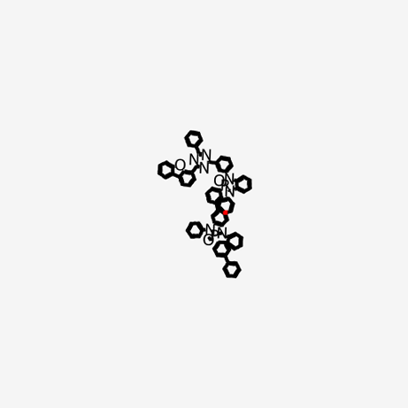 O=P1(c2cccc(-c3ccc4c(c3)N(c3ccccc3)P(=O)(c3ccc(-c5ccccc5)cc3)N4c3ccccc3)c2)N(c2ccccc2)c2ccccc2N1c1cccc(-c2nc(-c3ccccc3)nc(-c3cccc4c3oc3ccccc34)n2)c1